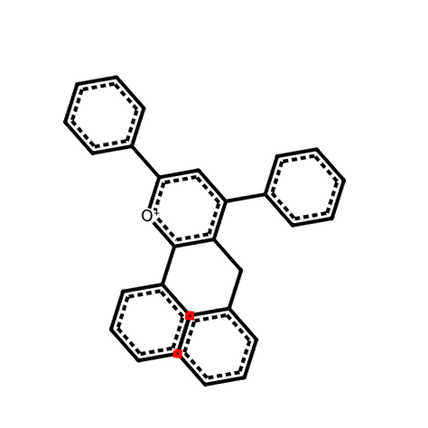 c1ccc(Cc2c(-c3ccccc3)cc(-c3ccccc3)[o+]c2-c2ccccc2)cc1